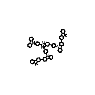 CC1(C)c2ccccc2-c2ccc(-c3ccc4c5ccccc5n(-c5ccc(-c6ccc7nc(-c8ccc(-n9c%10ccccc%10c%10ccccc%109)cc8)nc(-c8ccc(-n9c%10ccccc%10c%10ccc(-c%11ccc%12c(c%11)C(C)(C)c%11ccccc%11-%12)cc%109)cc8)c7c6)cc5)c4c3)cc21